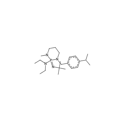 CCN(CC)P1(=NC(C)(C)C)N(C)CCCN1Cc1ccc(C(C)C)cc1